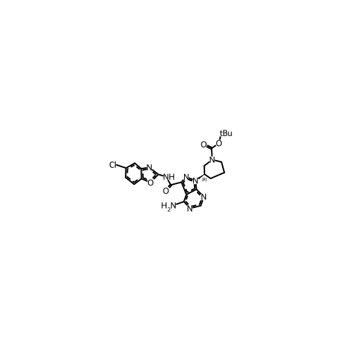 CC(C)(C)OC(=O)N1CCC[C@@H](n2nc(C(=O)Nc3nc4cc(Cl)ccc4o3)c3c(N)ncnc32)C1